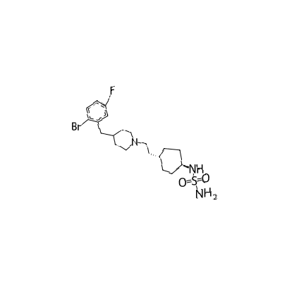 NS(=O)(=O)N[C@H]1CC[C@H](CCN2CCC(Cc3cc(F)ccc3Br)CC2)CC1